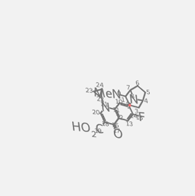 CNC1CCC2CCC1N2c1cc2c(cc1F)c(=O)c(C(=O)O)cn2C1CC1